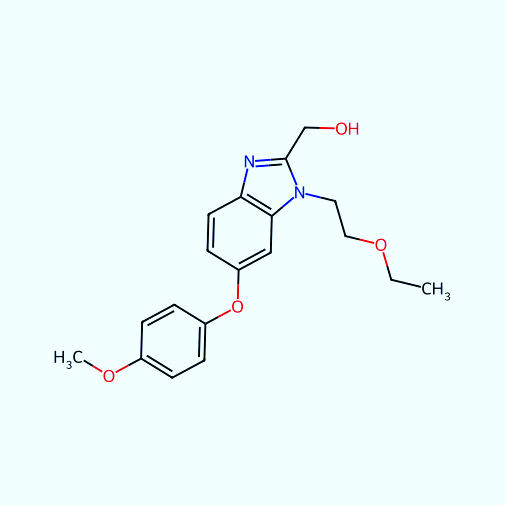 CCOCCn1c(CO)nc2ccc(Oc3ccc(OC)cc3)cc21